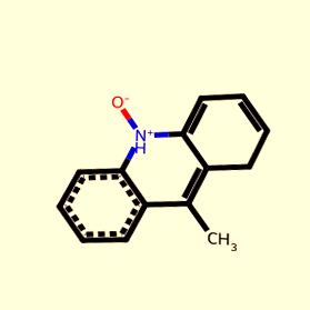 CC1=C2CC=CC=C2[NH+]([O-])c2ccccc21